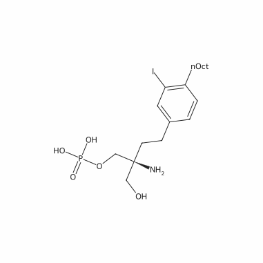 CCCCCCCCc1ccc(CC[C@](N)(CO)COP(=O)(O)O)cc1I